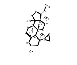 CC[C@H]1CC[C@H]2[C@@H]3CC=C4C[C@@H](O)CC(N5CC5)[C@]4(C)[C@H]3CC[C@]12C